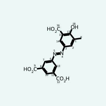 Cc1cc(N=Nc2cc(C(=O)O)cc(C(=O)O)c2)cc(C(=O)O)c1O